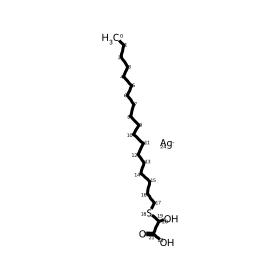 CCCCCCCCCCCCCCCCCCSC(O)C(=O)O.[Ag]